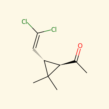 CC(=O)[C@@H]1[C@@H](C=C(Cl)Cl)C1(C)C